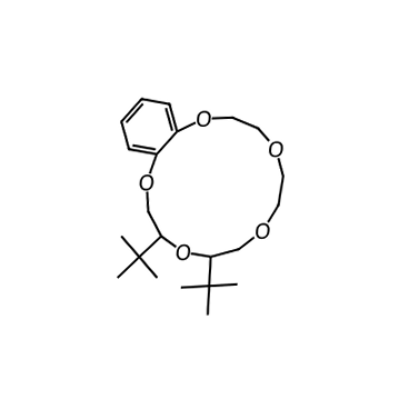 CC(C)(C)C1COCCOCCOc2ccccc2OCC(C(C)(C)C)O1